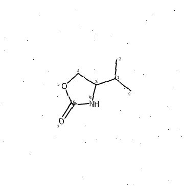 CC(C)C1COC(=O)N1